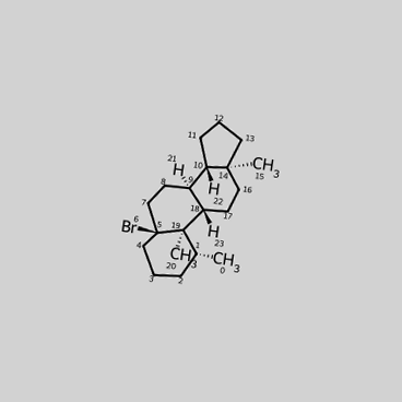 C[C@@H]1CCC[C@]2(Br)CC[C@H]3[C@@H]4CCC[C@@]4(C)CC[C@@H]3[C@@]12C